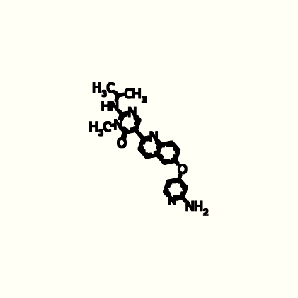 CC(C)Nc1ncc(-c2ccc3cc(Oc4ccnc(N)c4)ccc3n2)c(=O)n1C